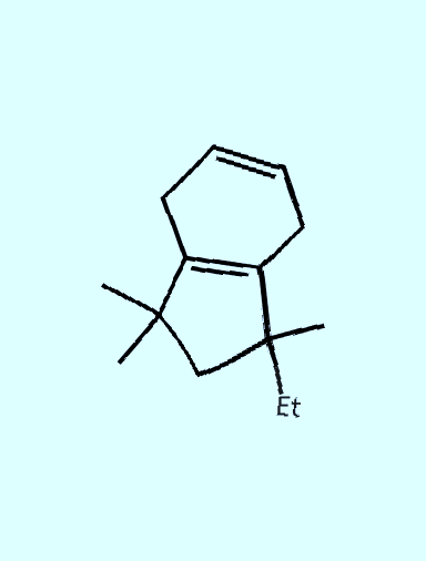 CCC1(C)CC(C)(C)C2=C1CC=CC2